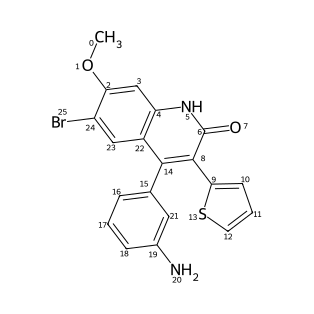 COc1cc2[nH]c(=O)c(-c3cccs3)c(-c3cccc(N)c3)c2cc1Br